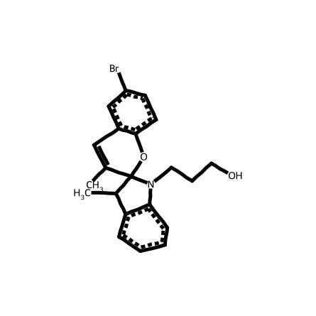 CC1=Cc2cc(Br)ccc2OC12C(C)c1ccccc1N2CCCO